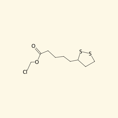 O=C(CCCCC1CCSS1)OCCl